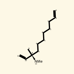 C=CCCCCCC[C@@](C)(C=C)NC